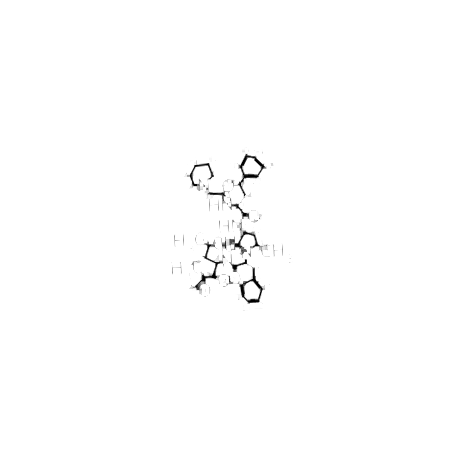 CC(C)CC(NC(=O)[C@H](Cc1ccccc1)N1C(=O)C(NC(=O)[C@H](CCc2ccccc2)NC(=O)CN2CCCCC2)CC1C)C(=O)C1(C)CO1